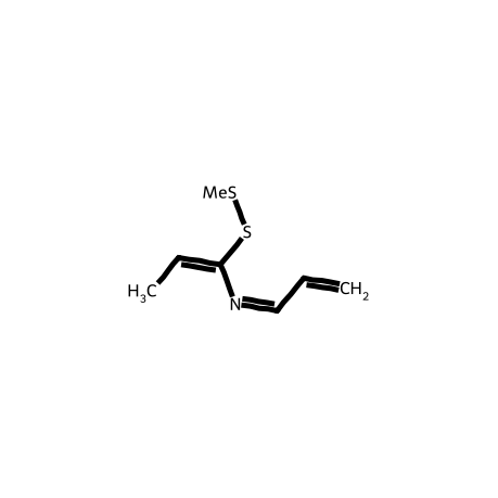 C=C/C=N\C(=C/C)SSC